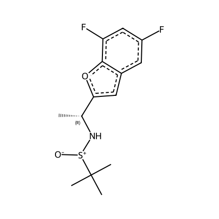 C[C@@H](N[S+]([O-])C(C)(C)C)c1cc2cc(F)cc(F)c2o1